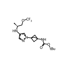 C[C@@H](COC(F)(F)F)Nc1cnn(C23CC(NC(=O)OC(C)(C)C)(C2)C3)c1